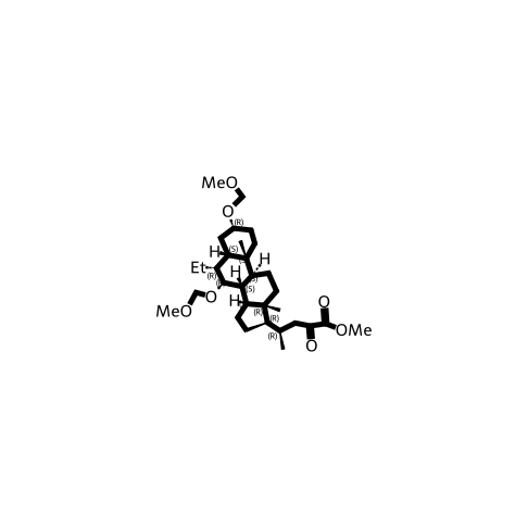 CC[C@H]1[C@@H](OCOC)[C@@H]2[C@H](CC[C@]3(C)[C@@H]([C@H](C)CC(=O)C(=O)OC)CC[C@@H]23)[C@@]2(C)CC[C@@H](OCOC)C[C@@H]12